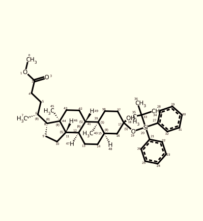 COC(=O)CC[C@@H](C)[C@H]1CC[C@H]2[C@@H]3CC[C@@H]4C[C@@](O)(O[Si](c5ccccc5)(c5ccccc5)C(C)(C)C)CC[C@]4(C)[C@H]3CC[C@]12C